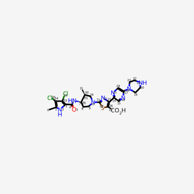 Cc1[nH]c(C(=O)N[C@@H]2CCN(c3nc(-c4cnc(N5CCNCC5)cn4)c(C(=O)O)s3)C[C@@H]2C)c(Cl)c1Cl